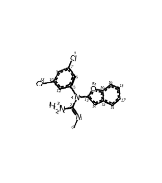 CN=C(N)N(c1cc(Cl)cc(Cl)c1)c1cc2ccccc2o1